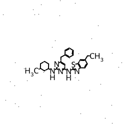 CCc1ccc2nc(Nc3cc(Cc4ccccc4)nc(NC4CCCC(C)C4)n3)sc2c1